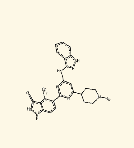 CC(=O)N1CCC(c2cc(Nc3n[nH]c4ccccc34)nc(-c3ccc4[nH][nH]c(=O)c4c3C(F)(F)F)n2)CC1